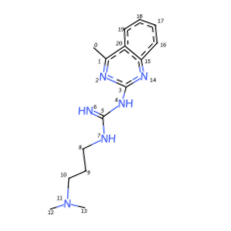 Cc1nc(NC(=N)NCCCN(C)C)nc2ccccc12